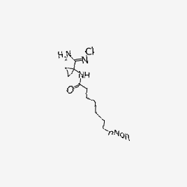 CCCCCCCCCCCCCCCC(=O)NC1(/C(N)=N/Cl)CC1